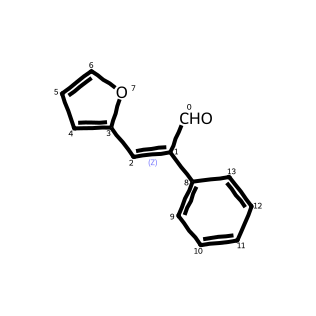 O=C/C(=C\c1ccco1)c1ccccc1